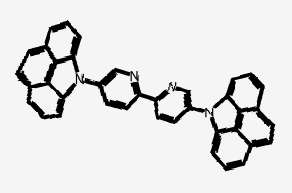 c1cc2ccc3cccc4c3c2c(c1)n4-c1ccc(-c2ccc(-n3c4cccc5ccc6cccc3c6c54)cn2)nc1